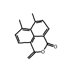 C=c1oc(=O)c2ccc(C)c3c(C)ccc1c32